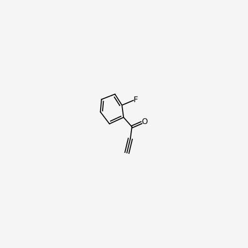 C#CC(=O)c1ccccc1F